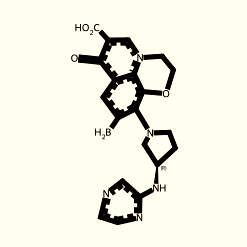 Bc1cc2c(=O)c(C(=O)O)cn3c2c(c1N1CC[C@@H](Nc2cnccn2)C1)OCC3